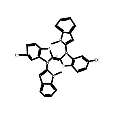 CCc1ccc2c(c1)N(c1cc3ccccc3n1C)/C(=C1\Sc3ccc(CC)cc3N1c1cc3ccccc3n1C)S2